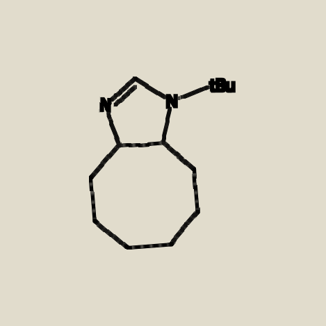 CC(C)(C)N1C=NC2CCCCCCC21